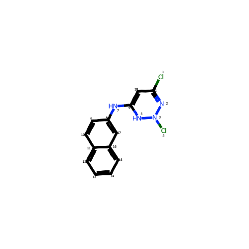 ClC1=NN(Cl)NC(Nc2ccc3ccccc3c2)=C1